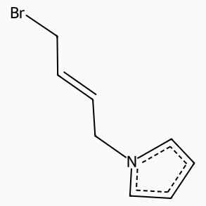 BrCC=CCn1cccc1